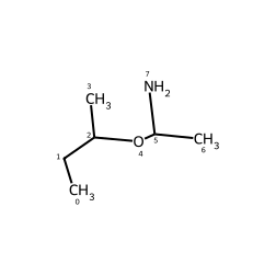 CCC(C)OC(C)N